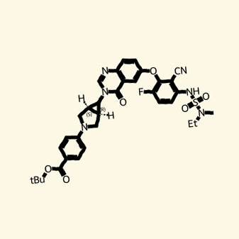 CCN(C)S(=O)(=O)Nc1ccc(F)c(Oc2ccc3ncn(C4[C@H]5CN(c6ccc(C(=O)OC(C)(C)C)cc6)C[C@@H]45)c(=O)c3c2)c1C#N